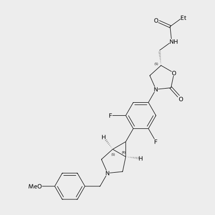 CCC(=O)NC[C@H]1CN(c2cc(F)c(C3[C@H]4CN(Cc5ccc(OC)cc5)C[C@@H]34)c(F)c2)C(=O)O1